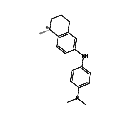 C[C@@H]1CCCc2cc(Nc3ccc(N(C)C)cc3)ccc21